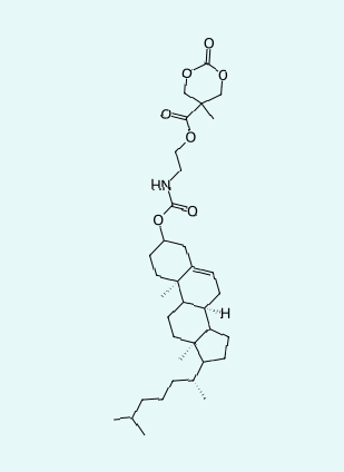 CC(C)CCC[C@@H](C)C1CCC2[C@@H]3CC=C4CC(OC(=O)NCCOC(=O)C5(C)COC(=O)OC5)CC[C@]4(C)C3CC[C@@]21C